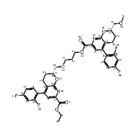 CCOC(=O)c1cc(-c2ccc(F)cc2F)c2c(n1)O[C@@H](COCCCOC(=O)c1cc(-c3ccc(F)cc3F)c3c(n1)O[C@H](COC)CC3)CC2